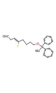 CC(C)(C)[Si](OCCCCC(F)=CCC=O)(c1ccccc1)c1ccccc1